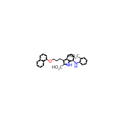 O=C(O)c1ccccc1Nc1cccc2c(CCCOc3cccc4ccccc34)c(C(=O)O)[nH]c12